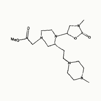 COC(=O)CN1CCN(C2CN(C)C(=O)O2)C(CCN2CCN(C)CC2)C1